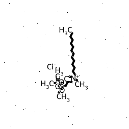 CCCCCCCCCCCCCC[N+](CC)(CC)CCC[Si](OCC)(OCC)OCC.[Cl-]